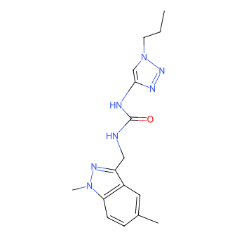 CCCn1cc(NC(=O)NCc2nn(C)c3ccc(C)cc23)nn1